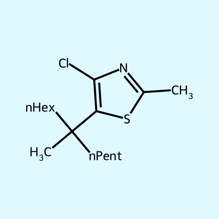 CCCCCCC(C)(CCCCC)c1sc(C)nc1Cl